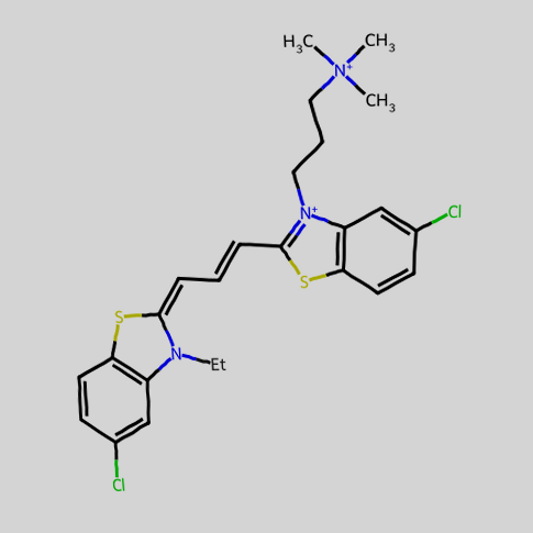 CCN1/C(=C\C=C\c2sc3ccc(Cl)cc3[n+]2CCC[N+](C)(C)C)Sc2ccc(Cl)cc21